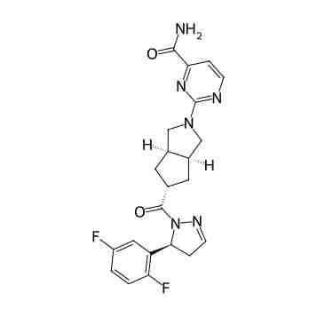 NC(=O)c1ccnc(N2C[C@H]3C[C@H](C(=O)N4N=CC[C@H]4c4cc(F)ccc4F)C[C@H]3C2)n1